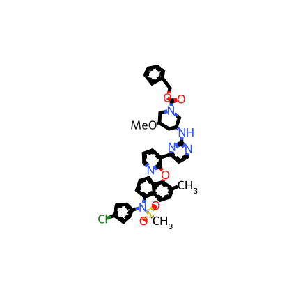 COC1CC(Nc2nccc(-c3cccnc3Oc3c(C)ccc4c(N(c5ccc(Cl)cc5)S(C)(=O)=O)cccc34)n2)CN(C(=O)OCc2ccccc2)C1